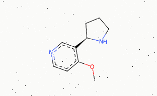 COc1ccncc1[C@H]1CCCN1